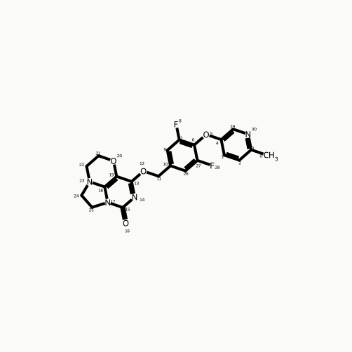 Cc1ccc(Oc2c(F)cc(COc3nc(=O)n4c5c3OCCN5CC4)cc2F)cn1